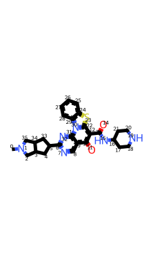 CN1CC2CC(c3ncc4c(=O)c(C(=O)NC5CCNCC5)c5sc6ccccc6n5c4n3)CC2C1